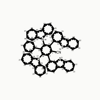 N#Cc1c(-c2cccc3c2sc2ccccc23)c(-n2c3ccccc3c3ccccc32)c(-c2ccccc2)c(-n2c3ccccc3c3ccccc32)c1-c1cccc2c1sc1ccccc12